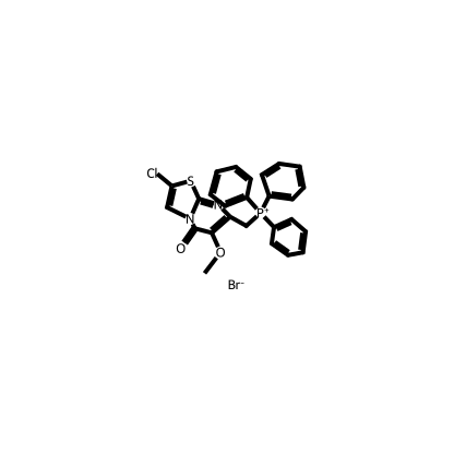 COc1c(C[P+](c2ccccc2)(c2ccccc2)c2ccccc2)nc2sc(Cl)cn2c1=O.[Br-]